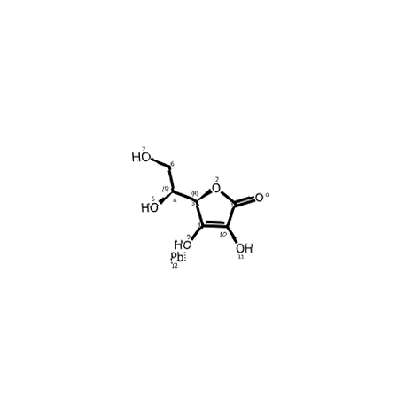 O=C1O[C@H]([C@@H](O)CO)C(O)=C1O.[Pb]